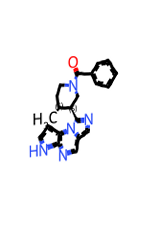 C[C@H]1CCN(C(=O)c2ccccc2)C[C@H]1c1ncc2cnc3[nH]ccc3n12